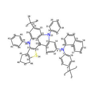 CC(C)(C)c1ccc(N(c2ccc3c(c2)N(c2ccccc2)c2cc(C(C)(C)C)cc4c2B3c2sc3c(c2N4c2ccccc2)CCCC3)c2cccc3ccccc23)cc1